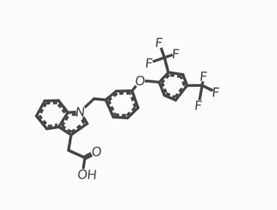 O=C(O)Cc1cn(Cc2cccc(Oc3ccc(C(F)(F)F)cc3C(F)(F)F)c2)c2ccccc12